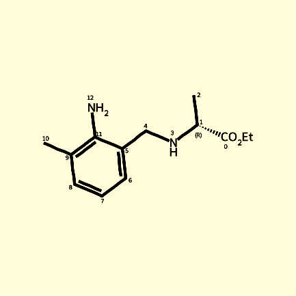 CCOC(=O)[C@@H](C)NCc1cccc(C)c1N